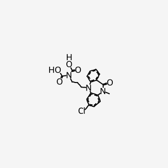 CN1C(=O)c2ccccc2N(CCCN(C(=O)O)C(=O)O)c2cc(Cl)ccc21